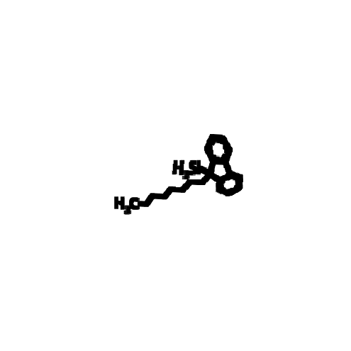 CCCCCCCCC1([SiH3])c2ccccc2-c2ccccc21